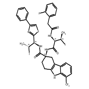 C[C@@H](I)[C@H](NC(=O)Cc1ccccc1F)C(=O)N[C@]1(C(=O)N[C@H](c2nc(-c3ccccc3)cs2)[C@@H](C)I)CCc2[nH]c3c(C(F)(F)F)cccc3c2C1